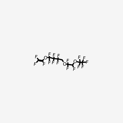 FC(F)=C(F)OC(F)(F)C(F)(F)C(F)(F)COC(F)(F)C(F)OC(F)(F)C(F)(F)F